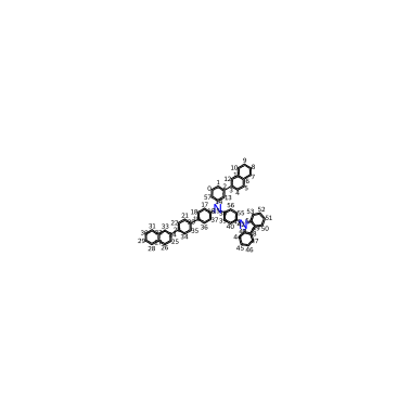 c1cc(-c2ccc3ccccc3c2)cc(N(c2ccc(-c3ccc(-c4ccc5ccccc5c4)cc3)cc2)c2ccc(-n3c4ccccc4c4ccccc43)cc2)c1